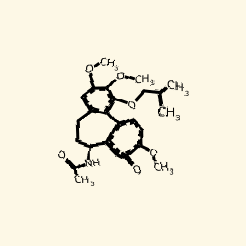 COc1cc2c(c(OCC(C)C)c1OC)-c1ccc(OC)c(=O)cc1[C@@H](NC(C)=O)CC2